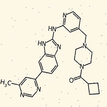 Cc1cc(-c2ccc3nc(Nc4cc(CN5CCN(C(=O)C6CCC6)CC5)ccn4)[nH]c3c2)ncn1